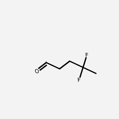 CC(F)(F)CC[C]=O